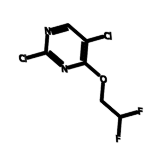 FC(F)COc1nc(Cl)ncc1Cl